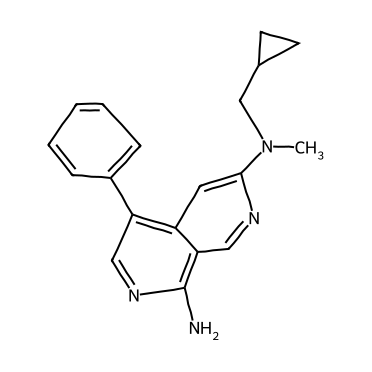 CN(CC1CC1)c1cc2c(-c3ccccc3)cnc(N)c2cn1